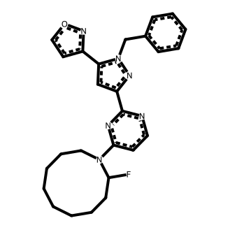 FC1CCCCCCCCN1c1ccnc(-c2cc(-c3ccon3)n(Cc3ccccc3)n2)n1